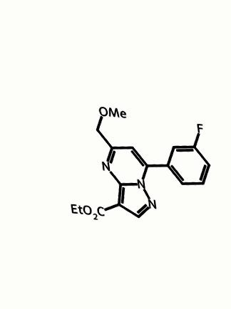 CCOC(=O)c1cnn2c(-c3cccc(F)c3)cc(COC)nc12